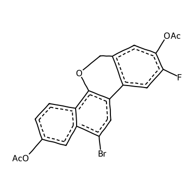 CC(=O)Oc1ccc2c3c(cc(Br)c2c1)-c1cc(F)c(OC(C)=O)cc1CO3